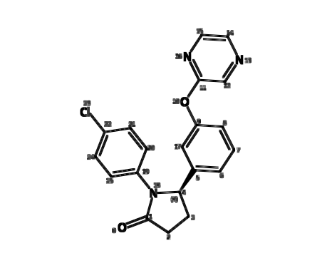 O=C1CC[C@H](c2cccc(Oc3cnccn3)c2)N1c1ccc(Cl)cc1